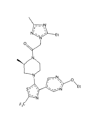 CCOc1ncc(-c2nc(C(F)(F)F)sc2N2CCN(C(=O)Cn3nc(C)nc3CC)[C@H](C)C2)cn1